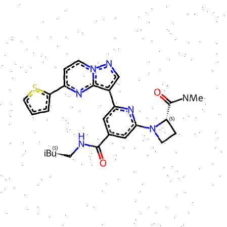 CC[C@H](C)CNC(=O)c1cc(-c2cnn3ccc(-c4cccs4)nc23)nc(N2CC[C@H]2C(=O)NC)c1